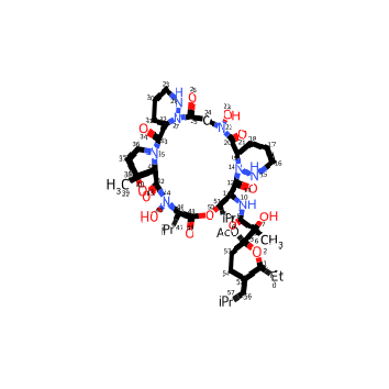 CCC1OC(OC(C)=O)(C(C)(O)C(=O)NC2C(=O)N3NCCCC3C(=O)N(O)CC(=O)N3NCCCC3C(=O)N3CCC(C)(O)C3C(=O)N(O)C(C(C)C)C(=O)OC2C(C)C)CCC1CC(C)C